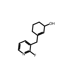 OC1C=C(Cc2cccnc2F)CCC1